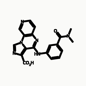 CN(C)C(=O)c1cccc(Nc2nc3ccncc3n3cnc(C(=O)O)c23)c1